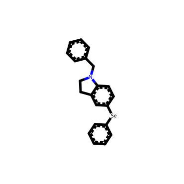 c1ccc(CN2CCc3cc([Se]c4ccccc4)ccc32)cc1